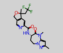 Cc1cc2n(n1)CC[C@H](NC(=O)c1cc3c(cn1)COC3(C)CC(F)(F)F)C(=O)N2C